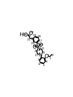 CCOc1ccccc1N1CCN(S(=O)(=O)c2cccc(CC(=O)O)c2)CC1